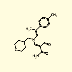 C/C(=C\N(/C=C(\C=O)C(N)=O)CC1CCOCC1)c1ccc(C)cc1